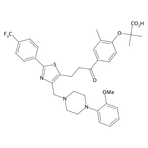 COc1ccccc1N1CCN(Cc2nc(-c3ccc(C(F)(F)F)cc3)sc2CCC(=O)c2ccc(OC(C)(C)C(=O)O)c(C)c2)CC1